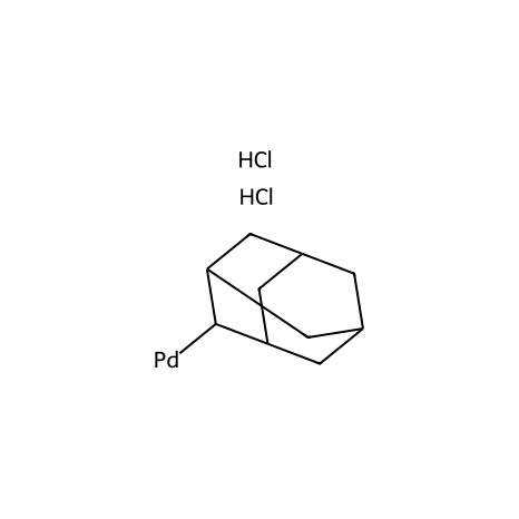 Cl.Cl.[Pd][CH]1C2CC3CC(C2)CC1C3